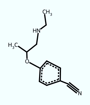 CCNCC(C)Oc1ccc(C#N)cc1